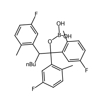 CCCCC(c1cc(F)ccc1C)C(OB(O)O)(c1cc(F)ccc1C)c1cc(F)ccc1C